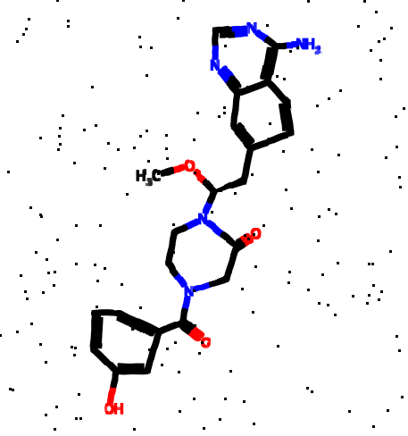 CO[C@@H](Cc1ccc2c(N)ncnc2c1)N1CCN(C(=O)c2cccc(O)c2)CC1=O